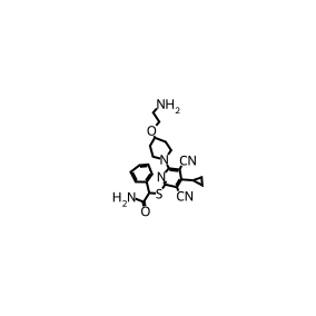 N#Cc1c(SC(C(N)=O)c2ccccc2)nc(N2CCC(OCCN)CC2)c(C#N)c1C1CC1